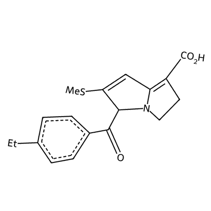 CCc1ccc(C(=O)C2C(SC)=CC3=C(C(=O)O)CCN32)cc1